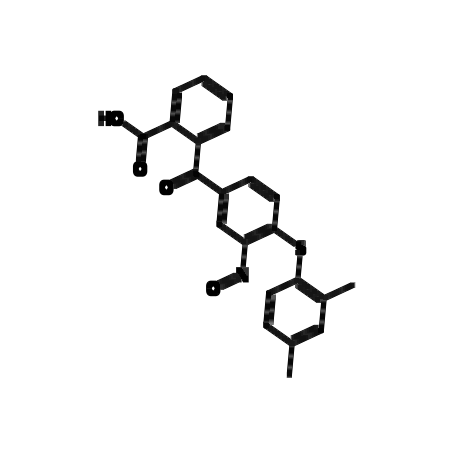 Cc1ccc(Sc2ccc(C(=O)c3ccccc3C(=O)O)cc2N=O)c(C)c1